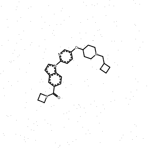 O=C(c1ccc2c(ccn2-c2ccc(OC3CCN(CC4CCC4)CC3)cn2)c1)N1CCC1